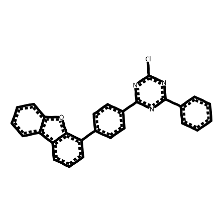 Clc1nc(-c2ccccc2)nc(-c2ccc(-c3cccc4c3oc3ccccc34)cc2)n1